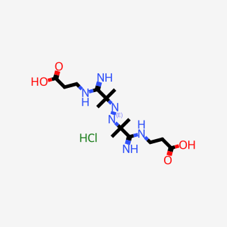 CC(C)(/N=N/C(C)(C)C(=N)NCCC(=O)O)C(=N)NCCC(=O)O.Cl